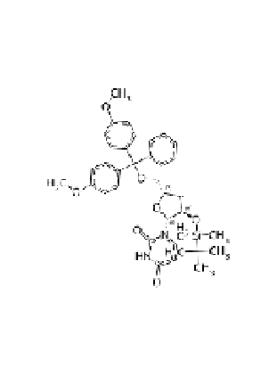 COc1ccc(C(OC[C@@H]2[CH][C@@H](O[Si](C)(C)C(C)(C)C)[C@H](n3ccc(=O)[nH]c3=O)O2)(c2ccccc2)c2ccc(OC)cc2)cc1